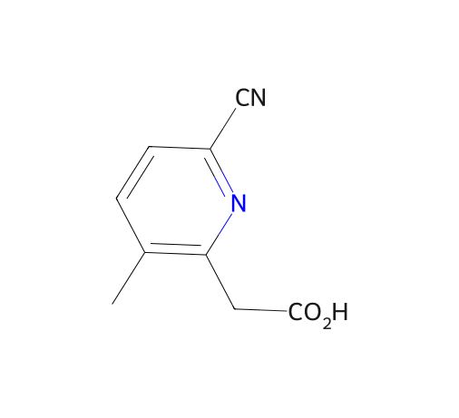 Cc1ccc(C#N)nc1CC(=O)O